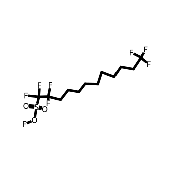 O=S(=O)(OF)C(F)(F)C(F)(F)CCCCCCCCCC(F)(F)F